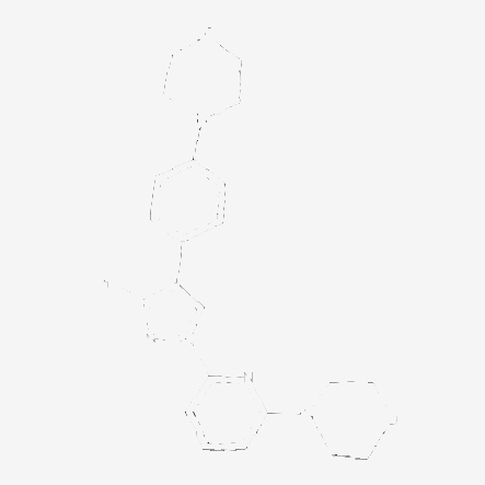 CC(C)c1nn(-c2cccc(N3CCOCC3)n2)cc1-c1ccc(N2CCOCC2)cc1